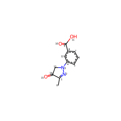 CC1=NN(c2cccc(C(=O)O)c2)CC1=O